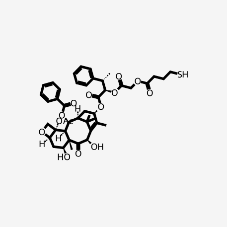 CC(=O)O[C@@]12CO[C@@H]1C[C@H](O)[C@@]1(C)C(=O)[C@H](O)C3=C(C)[C@@H](OC(=O)[C@H](OC(=O)COC(=O)CCCS)[C@@H](C)c4ccccc4)C[C@H]([C@@H](OC(=O)c4ccccc4)[C@H]21)C3(C)C